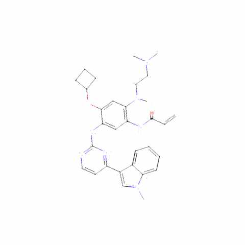 C=CC(=O)Nc1cc(Nc2nccc(-c3cn(C)c4ccccc34)n2)c(OC2CCC2)cc1N(C)CCN(C)C